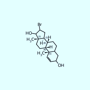 C[C@]12C=CC(O)CC1CC[C@@H]1[C@H]2CC[C@]2(C)C(O)C(Br)C[C@@H]12